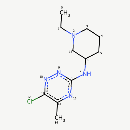 CCN1CCCC(Nc2nnc(Cl)c(C)n2)C1